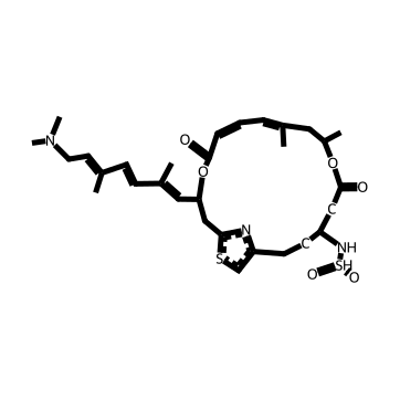 CC(/C=C/C(C)=C/C1Cc2nc(cs2)CCC(N[SH](=O)=O)CC(=O)OC(C)C/C(C)=C/C=C\C(=O)O1)=C\CN(C)C